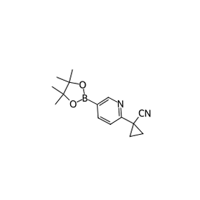 CC1(C)OB(c2ccc(C3(C#N)CC3)nc2)OC1(C)C